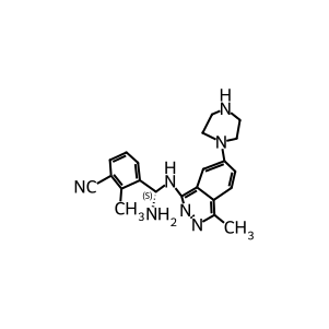 Cc1c(C#N)cccc1[C@@H](N)Nc1nnc(C)c2ccc(N3CCNCC3)cc12